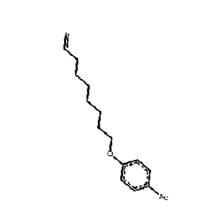 C=CCCCCCCCOc1ccc(C(C)=O)cc1